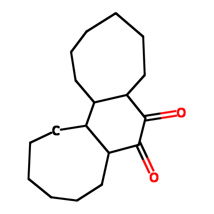 O=C1C(=O)C2CCCCCCC2C2CCCCCCC12